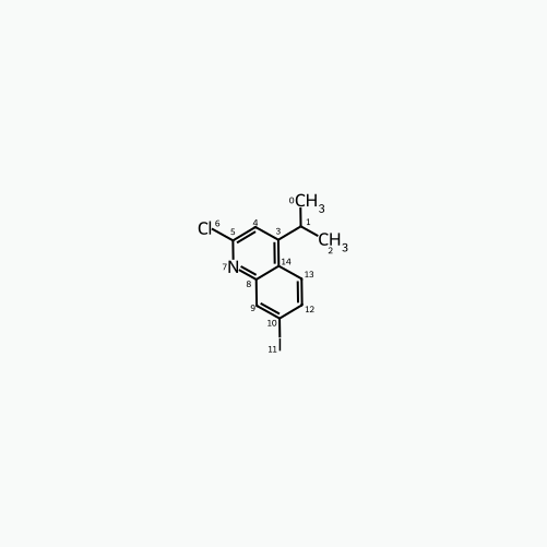 CC(C)c1cc(Cl)nc2cc(I)ccc12